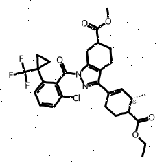 CCOC(=O)C1CCC(c2nn(C(=O)c3c(Cl)cccc3C3(C(F)(F)F)CC3)c3c2CCC(C(=O)OC)C3)=C[C@@H]1C